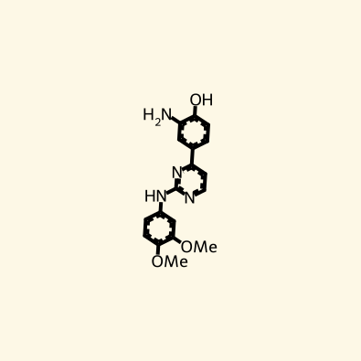 COc1ccc(Nc2nccc(-c3ccc(O)c(N)c3)n2)cc1OC